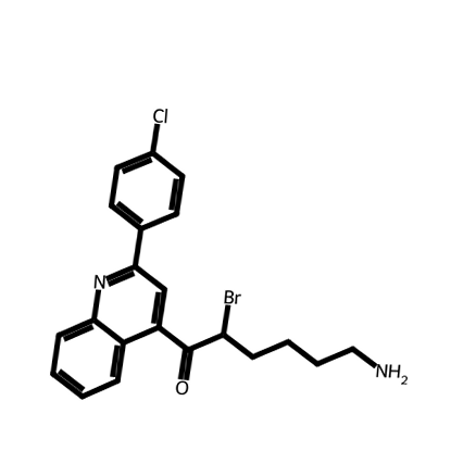 NCCCCC(Br)C(=O)c1cc(-c2ccc(Cl)cc2)nc2ccccc12